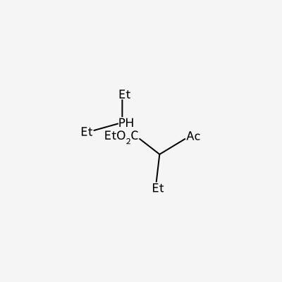 CCOC(=O)C(CC)C(C)=O.CCPCC